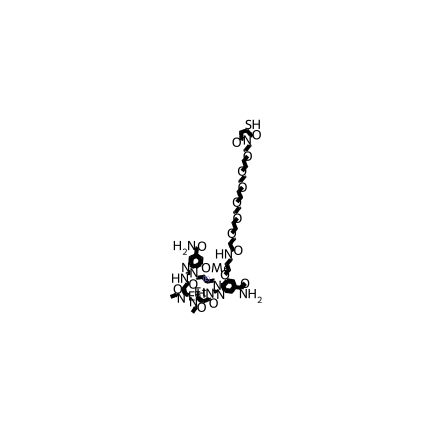 CCc1nc(C)oc1C(=O)Nc1nc2cc(C(N)=O)cc(OC)c2n1C/C=C/Cn1c(NC(=O)c2oc(C)nc2CC)nc2cc(C(N)=O)cc(OCCCNC(=O)CCOCCOCCOCCOCCOCCOCCN3C(=O)CC(S)C3=O)c21